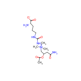 CC(=O)OC(CC(N)=O)C[N+](C)(C)C.NC(=O)NCCC[C@H](N)C(=O)[O-]